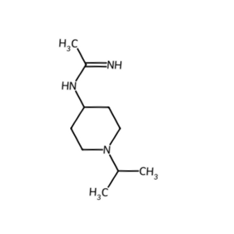 CC(=N)NC1CCN(C(C)C)CC1